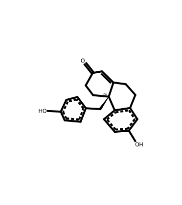 O=C1C=C2CCc3cc(O)ccc3[C@]2(Cc2ccc(O)cc2)CC1